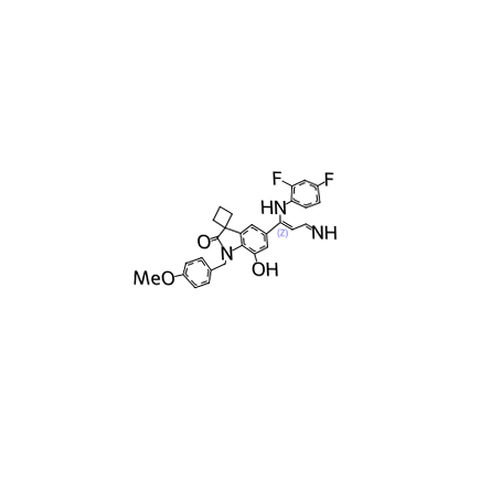 COc1ccc(CN2C(=O)C3(CCC3)c3cc(/C(=C/C=N)Nc4ccc(F)cc4F)cc(O)c32)cc1